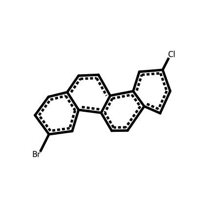 Clc1ccc2ccc3c4cc(Br)ccc4ccc3c2c1